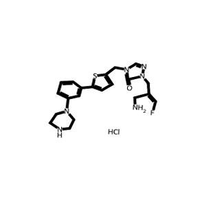 Cl.NC/C(=C\F)Cn1ncn(Cc2ccc(-c3cccc(N4CCNCC4)c3)s2)c1=O